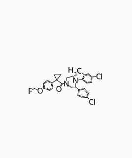 Cc1cc(Cl)ccc1N1CCN(C(=O)C2(c3ccc(OCF)cc3)CC2)CC1c1ccc(Cl)cc1